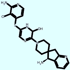 Nc1nccc(SC2=CN=C(N3CCC4(CC3)Cc3ncccc3[C@H]4N)C(O)N2)c1Cl